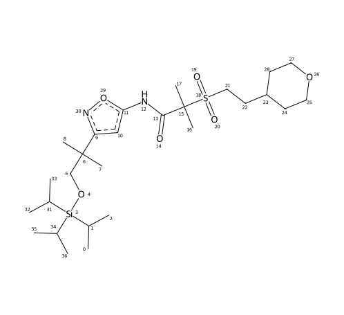 CC(C)[Si](OCC(C)(C)c1cc(NC(=O)C(C)(C)S(=O)(=O)CCC2CCOCC2)on1)(C(C)C)C(C)C